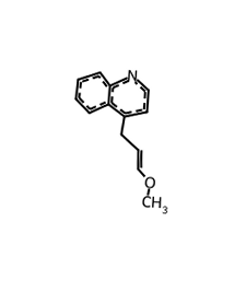 COC=CCc1ccnc2ccccc12